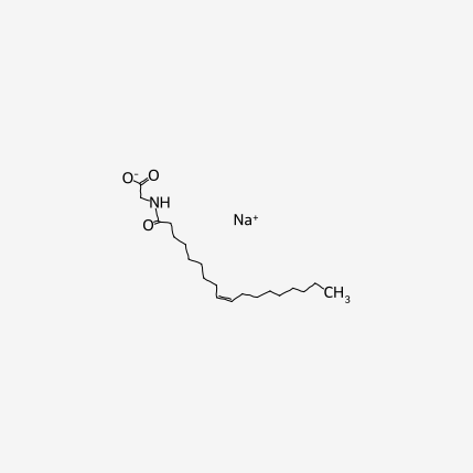 CCCCCCCC/C=C\CCCCCCCC(=O)NCC(=O)[O-].[Na+]